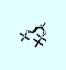 C[C@H](C=CO[Si](C)(C)C)O[Si](C)(C)C(C)(C)C